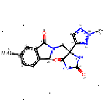 COc1ccc2c(c1)C(=O)N(C[C@@]1(c3cnn(C(C)C)n3)NC(=O)NC1=O)C2